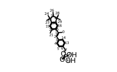 CC(=Cc1ccc(COP(=O)(O)O)cc1)c1cc2c(cc1C)C(C)(C)C(C)C2(C)C